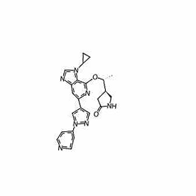 C[C@@H](Oc1nc(-c2cnn(-c3ccncc3)c2)cc2ncn(C3CC3)c12)[C@H]1CNC(=O)C1